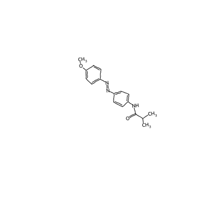 COc1ccc(/N=N/c2ccc(NC(=O)C(C)C)cc2)cc1